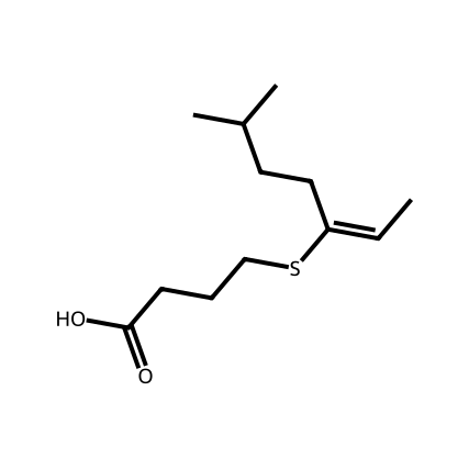 C/C=C(\CCC(C)C)SCCCC(=O)O